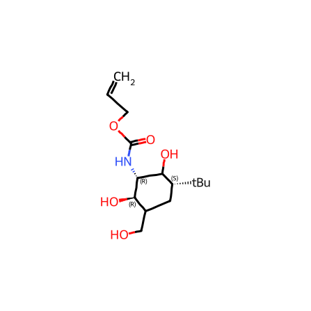 C=CCOC(=O)N[C@@H]1C(O)[C@H](C(C)(C)C)CC(CO)[C@H]1O